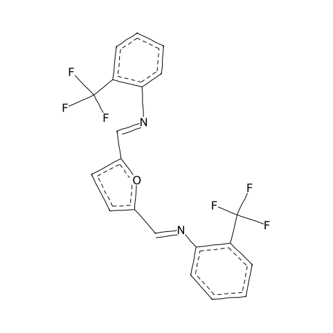 FC(F)(F)c1ccccc1N=Cc1ccc(C=Nc2ccccc2C(F)(F)F)o1